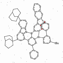 CC(C)(C)c1ccc(N2c3cc4oc5cc6ccccc6cc5c4cc3B3c4c(cc(-c5ccccc5)cc42)-c2cc(C45CCCC(CCC4)C5)cc4c5cc(C67CCCC(CCC6)C7)ccc5n3c24)c(-c2ccccc2)c1